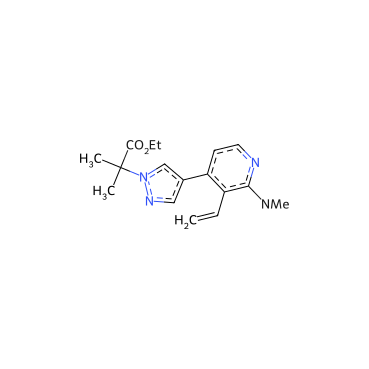 C=Cc1c(-c2cnn(C(C)(C)C(=O)OCC)c2)ccnc1NC